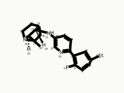 CCc1ccc(F)c(-c2ccc(N[C@H]3C4CCN(CC4)[C@@H]3C)cn2)c1